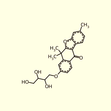 Cc1ccc2c3c(oc2c1)C(C)(C)c1cc(OCC(O)C(O)CO)ccc1C3=O